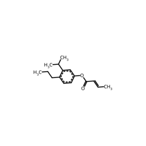 CC=CC(=O)Oc1ccc(CCC)c(C(C)C)c1